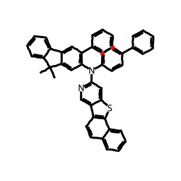 CC1(C)c2ccccc2-c2cc(-c3ccccc3)c(N(c3ccc(-c4ccccc4)cc3)c3cc4sc5c6ccccc6ccc5c4cn3)cc21